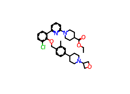 CCOC(=O)C1CCN(c2cccc(-c3cccc(Cl)c3OCc3ccc(C4CCN(C5COC5)CC4)cc3C)n2)CC1